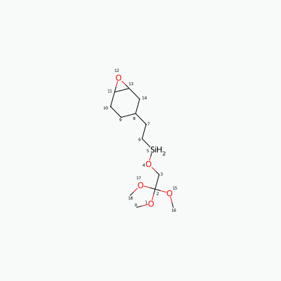 COC(CO[SiH2]CCC1CCC2OC2C1)(OC)OC